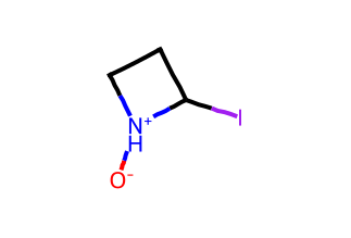 [O-][NH+]1CCC1I